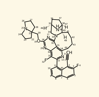 C#Cc1c(F)ccc2cccc(-c3nc4c5c(nc(OCC67CCCN6CCC7)nc5c3F)N3C[C@H]5CC[C@H](N5)[C@H]3CCCC4)c12